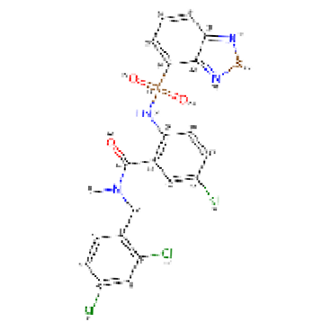 CN(Cc1ccc(Cl)cc1Cl)C(=O)c1cc(Cl)ccc1NS(=O)(=O)c1cccc2nsnc12